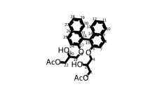 CC(=O)OCC(O)COc1ccc2ccccc2c1-c1c(OCC(O)COC(C)=O)ccc2ccccc12